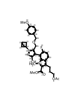 COC(=O)c1c(CCCOC(C)=O)c2ccc(F)c(-c3c(C)nn(C45CC(C4)C5)c3COCc3ccc(OC)cc3)c2n1C